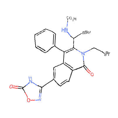 CC(C)Cn1c(C(NC(=O)O)C(C)(C)C)c(-c2ccccc2)c2cc(-c3noc(=O)[nH]3)ccc2c1=O